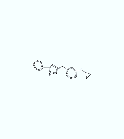 c1ccc(-c2cn(Cc3cccc(SC4CC4)c3)nn2)cc1